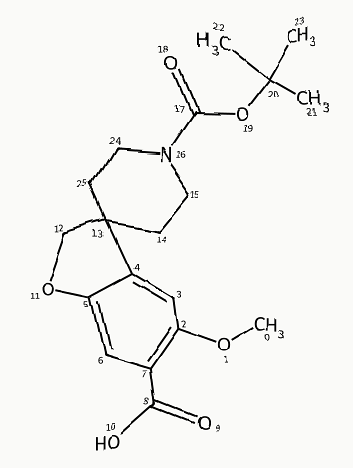 COc1cc2c(cc1C(=O)O)OCC21CCN(C(=O)OC(C)(C)C)CC1